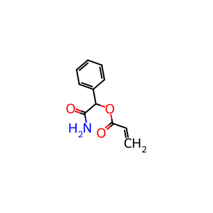 C=CC(=O)OC(C(N)=O)c1ccccc1